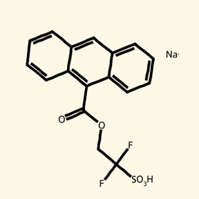 O=C(OCC(F)(F)S(=O)(=O)O)c1c2ccccc2cc2ccccc12.[Na]